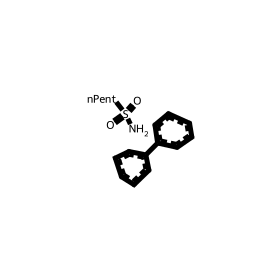 CCCCCS(N)(=O)=O.c1ccc(-c2ccccc2)cc1